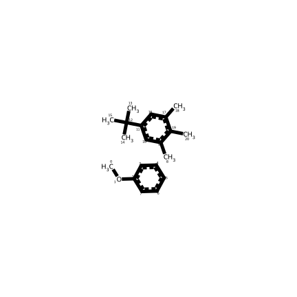 COc1ccccc1.Cc1cc(C(C)(C)C)cc(C)c1C